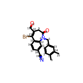 Cc1ccc(CN2C(=O)CC(C=O)=C(Br)c3ccc(C#N)cc32)cc1C